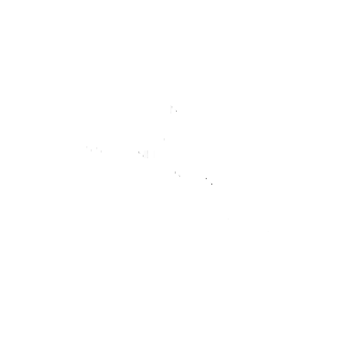 C#CC(C)(C)Nc1ccnc2sc3c(=O)n(-c4ccc(OC)cc4)cnc3c12